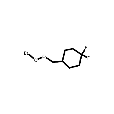 CCOOCC1CCC(F)(F)CC1